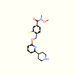 CON(C)C(=O)c1ccc(COc2cccc(C3CCNCC3)n2)c(F)c1